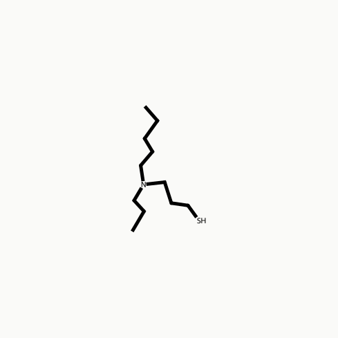 CCCCCN(CCC)CCCS